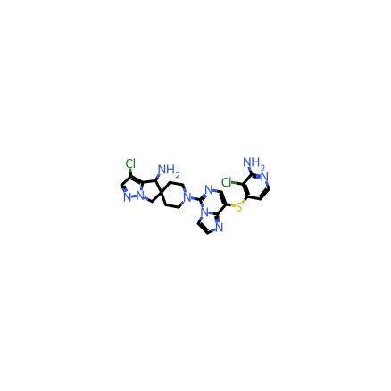 Nc1nccc(Sc2cnc(N3CCC4(CC3)Cn3ncc(Cl)c3C4N)n3ccnc23)c1Cl